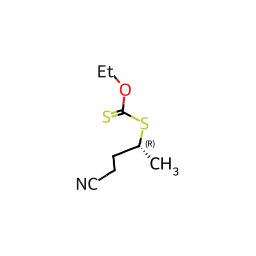 CCOC(=S)S[C@H](C)CCC#N